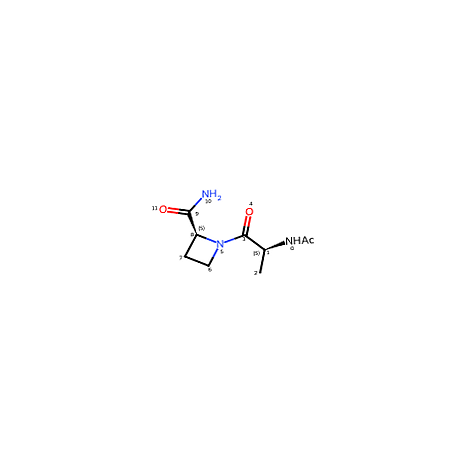 CC(=O)N[C@@H](C)C(=O)N1CC[C@H]1C(N)=O